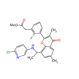 COC(=O)Cc1cccc(-c2oc3c(C(C)Nc4ccc(Cl)nc4)cc(C)cc3c(=O)c2C)c1F